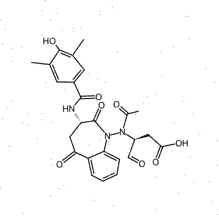 CC(=O)N([C@H](C=O)CC(=O)O)N1C(=O)[C@@H](NC(=O)c2cc(C)c(O)c(C)c2)CC(=O)c2ccccc21